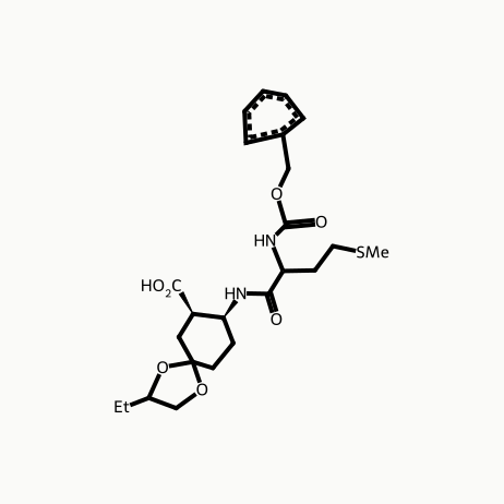 CCC1COC2(CC[C@H](NC(=O)C(CCSC)NC(=O)OCc3ccccc3)[C@H](C(=O)O)C2)O1